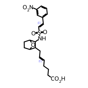 O=C(O)CCC/C=C/CC1C2CCC(O2)C1NS(=O)(=O)/C=C/c1cccc([N+](=O)[O-])c1